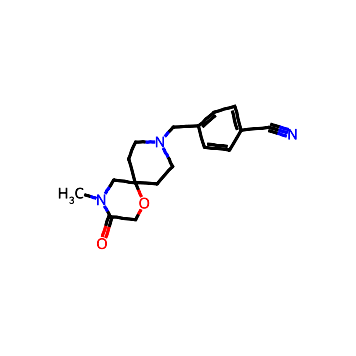 CN1CC2(CCN(Cc3ccc(C#N)cc3)CC2)OCC1=O